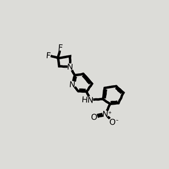 O=[N+]([O-])c1ccccc1Nc1ccc(N2CC(F)(F)C2)nc1